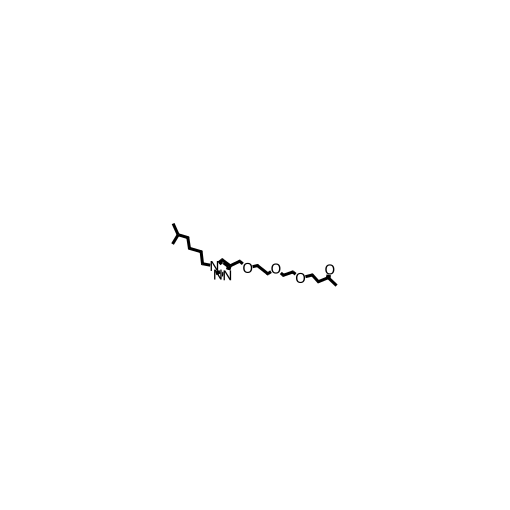 CC(=O)CCOCCOCCOCc1cn(CCCCC(C)C)nn1